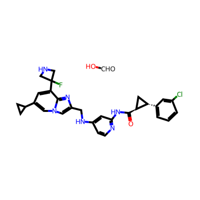 O=C(Nc1cc(NCc2cn3cc(C4CC4)cc(C4(F)CNC4)c3n2)ccn1)[C@H]1C[C@@H]1c1cccc(Cl)c1.O=CO